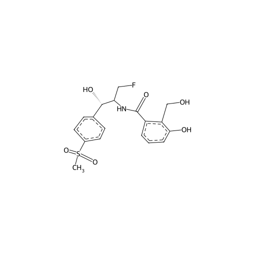 CS(=O)(=O)c1ccc([C@H](O)C(CF)NC(=O)c2cccc(O)c2CO)cc1